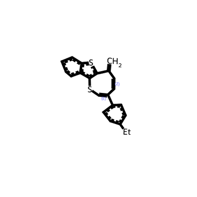 C=C1/C=C\C(c2ccc(CC)cc2)=C/Sc2c1sc1ccccc21